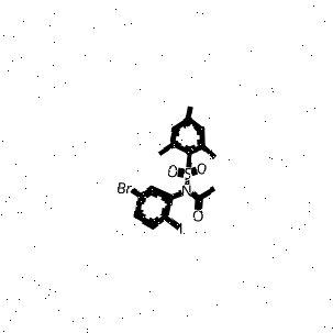 CC(=O)N(c1cc(Br)ccc1I)S(=O)(=O)c1c(C)cc(C)cc1C